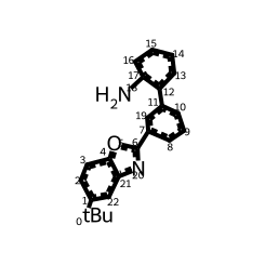 CC(C)(C)c1ccc2oc(-c3cccc(-c4ccccc4N)c3)nc2c1